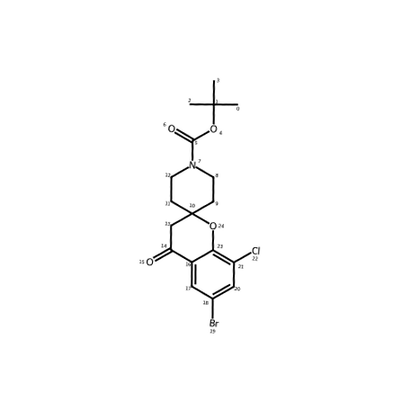 CC(C)(C)OC(=O)N1CCC2(CC1)CC(=O)c1cc(Br)cc(Cl)c1O2